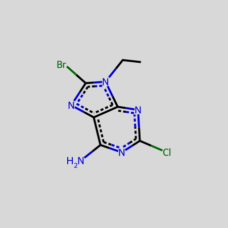 CCn1c(Br)nc2c(N)nc(Cl)nc21